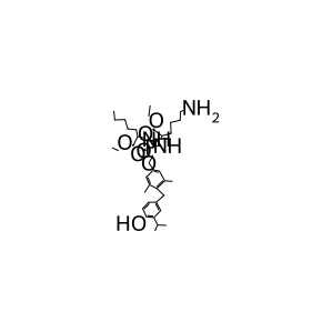 CCCCCC(NP(=O)(COc1cc(C)c(Cc2ccc(O)c(C(C)C)c2)c(C)c1)NC(CCCCN)C(=O)OCC)C(=O)OCC